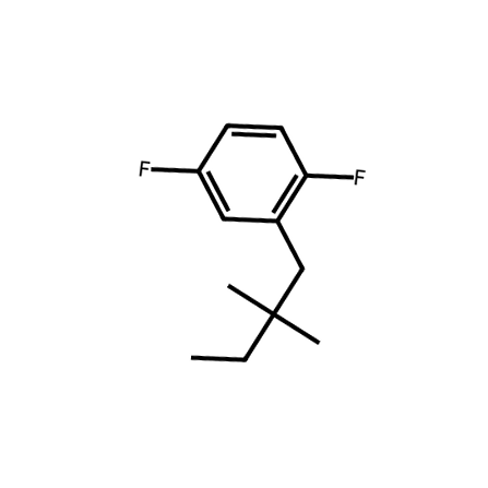 CCC(C)(C)Cc1cc(F)ccc1F